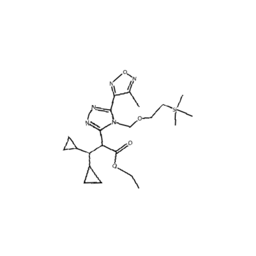 CCOC(=O)C(c1nnc(-c2nonc2C)n1COCC[Si](C)(C)C)C(C1CC1)C1CC1